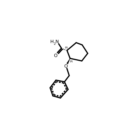 NC(=O)[C@@H]1CCCC[C@H]1OCc1ccccc1